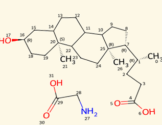 C[C@H](CCC(=O)O)[C@H]1CCC2C3CCC4C[C@H](O)CC[C@]4(C)C3CC[C@@]21C.NCC(=O)O